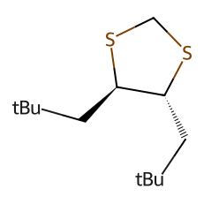 CC(C)(C)C[C@H]1SCS[C@@H]1CC(C)(C)C